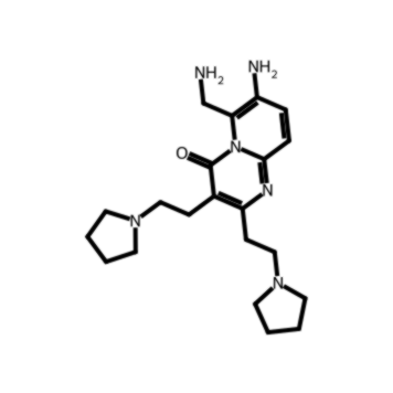 NCc1c(N)ccc2nc(CCN3CCCC3)c(CCN3CCCC3)c(=O)n12